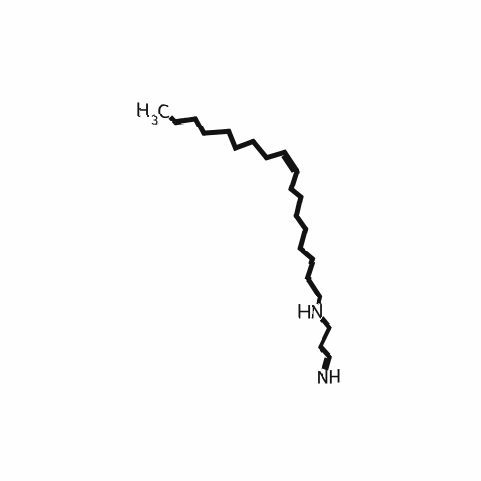 CCCCCCCC/C=C\CCCCCCCCNCCC=N